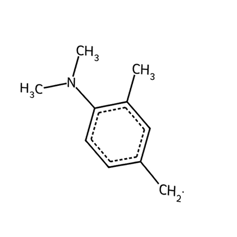 [CH2]c1ccc(N(C)C)c(C)c1